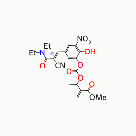 C=C(C(=O)OC)C(C)OC(=O)Oc1cc(/C=C(\C#N)C(=O)N(CC)CC)cc([N+](=O)[O-])c1O